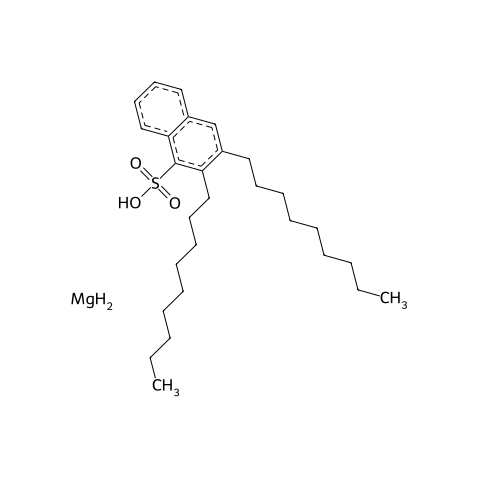 CCCCCCCCCc1cc2ccccc2c(S(=O)(=O)O)c1CCCCCCCCC.[MgH2]